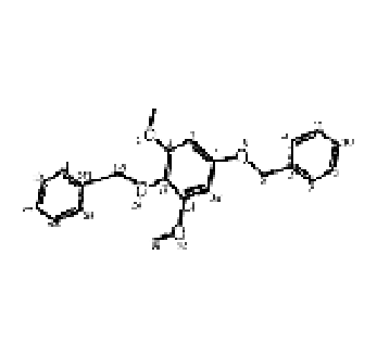 COc1cc(OCc2ccccc2)cc(OC)c1OCc1ccccc1